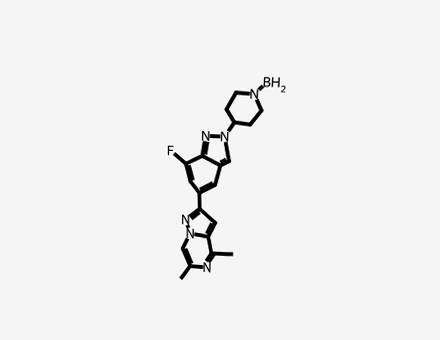 BN1CCC(n2cc3cc(-c4cc5c(C)nc(C)cn5n4)cc(F)c3n2)CC1